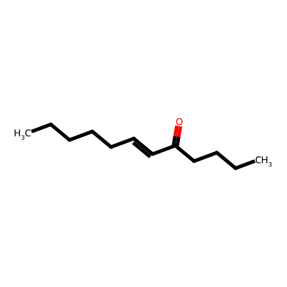 CCCCCC=CC(=O)CCCC